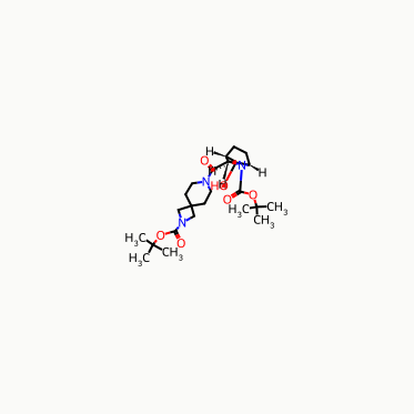 CC(C)(C)OC(=O)N1CC2(CCN(C(=O)[C@@H]3[C@@H]4CC[C@@H](C[C@H]4O)N3C(=O)OC(C)(C)C)CC2)C1